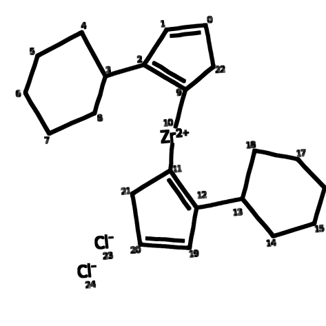 C1=CC(C2CCCCC2)=[C]([Zr+2][C]2=C(C3CCCCC3)C=CC2)C1.[Cl-].[Cl-]